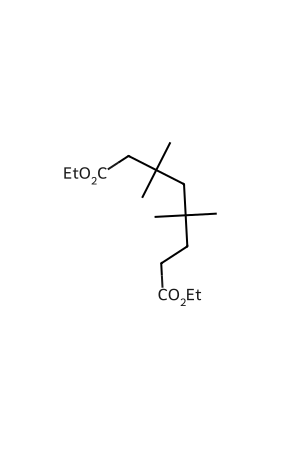 CCOC(=O)CCC(C)(C)CC(C)(C)CC(=O)OCC